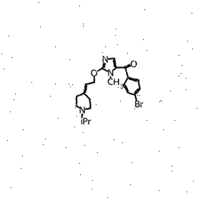 CC(C)N1CCC(=CCOc2ncc(C(=O)c3ccc(Br)cc3)n2C)CC1